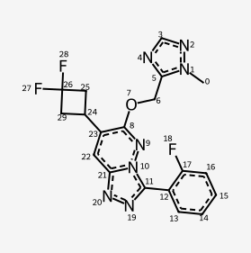 Cn1ncnc1COc1nn2c(-c3ccccc3F)nnc2cc1C1CC(F)(F)C1